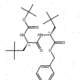 CC(C)(C)C[C@H](NC(=O)[C@@H](CC(C)(C)C)NC(=O)OC(C)(C)C)C(=O)OCc1ccccc1